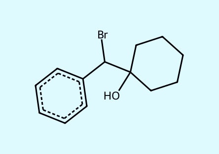 OC1(C(Br)c2ccccc2)CCCCC1